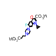 O=C(O)CCCN1CCN(c2cc3c(cc2F)c(=O)c(C(=O)O)cn3C2CC2)CC1